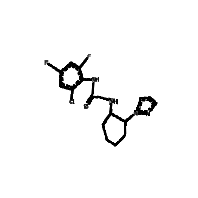 O=C(Nc1c(F)cc(F)cc1Cl)NC1CCCCC1n1cccn1